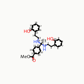 CCC(NCCc1ccccc1O)(NCCc1ccccc1O)c1ccc(C(=O)OC)cc1